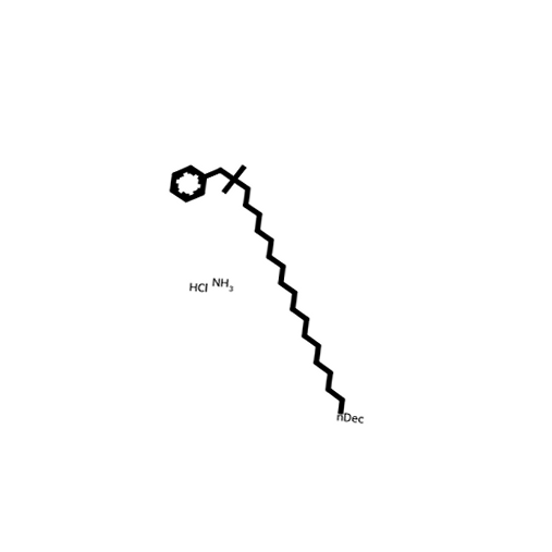 CCCCCCCCCCCCCCCCCCCCCCCCCCCC(C)(C)Cc1ccccc1.Cl.N